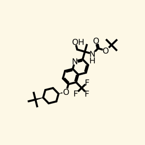 CC(C)(C)OC(=O)NC(C)(CO)c1ccc2c(C(F)(F)F)c(O[C@H]3CC[C@H](C(C)(C)C)CC3)ccc2n1